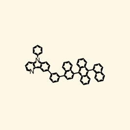 c1ccc(-n2c3ccc(-c4cccc(-c5ccc(-c6c7ccccc7c(-c7cccc8ccccc78)c7ccccc67)c6ccccc56)c4)cc3c3ncccc32)cc1